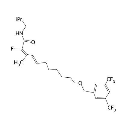 CC(/C=C/CCCCCCOCc1cc(C(F)(F)F)cc(C(F)(F)F)c1)=C(\F)C(=O)NCC(C)C